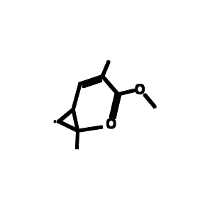 COC(=O)C(C)=CC1[CH]C1(C)C